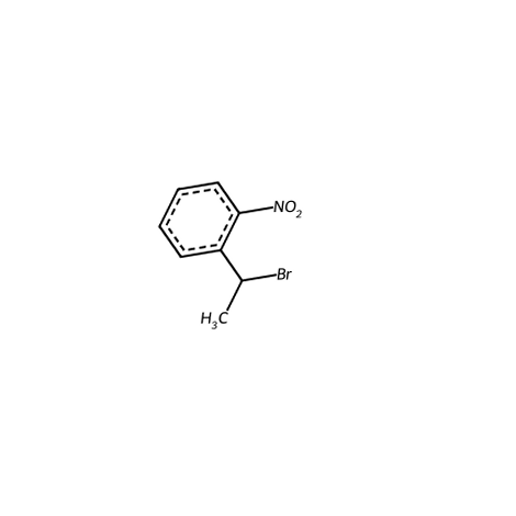 CC(Br)c1ccccc1[N+](=O)[O-]